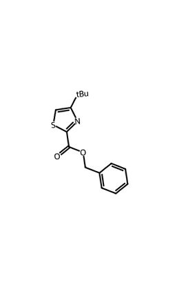 CC(C)(C)c1csc(C(=O)OCc2ccccc2)n1